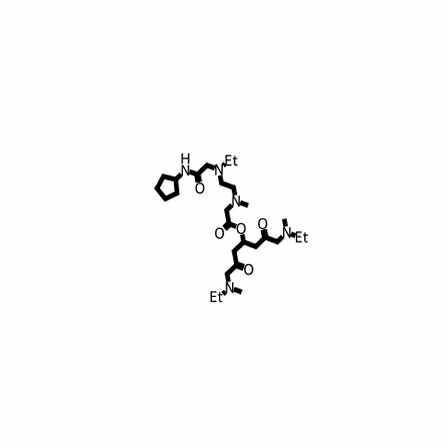 CCN(C)CC(=O)CC(CC(=O)CN(C)CC)OC(=O)CN(C)CCN(CC)CC(=O)NC1CCCC1